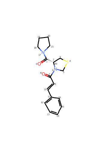 O=C([C@@H]1CSCN1C(=O)C=Cc1ccccc1)N1CCCC1